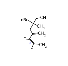 C=C(CC(C)(CC#N)CCCC)/C(F)=C(\C)F